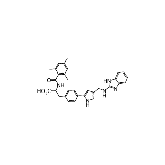 Cc1cc(C)c(C(=O)NC(Cc2ccc(-c3cc(CNc4nc5ccccc5[nH]4)c[nH]3)cc2)C(=O)O)c(C)c1